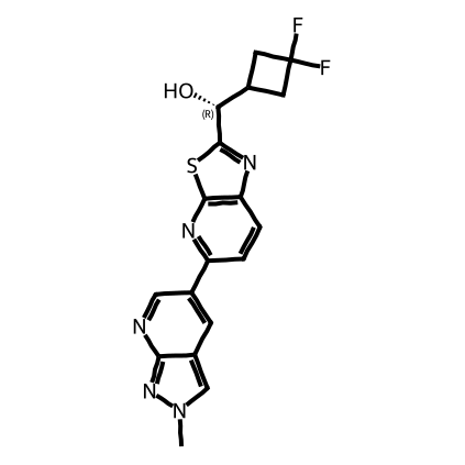 Cn1cc2cc(-c3ccc4nc([C@H](O)C5CC(F)(F)C5)sc4n3)cnc2n1